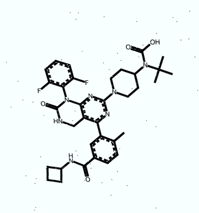 Cc1ccc(C(=O)NC2CCC2)cc1-c1nc(N2CCC(N(C(=O)O)C(C)(C)C)CC2)nc2c1CNC(=O)N2c1c(F)cccc1F